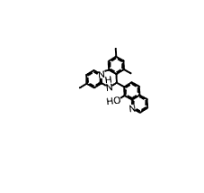 Cc1ccnc(NC(c2ccc3cccnc3c2O)c2c(C)cc(C)cc2C)c1